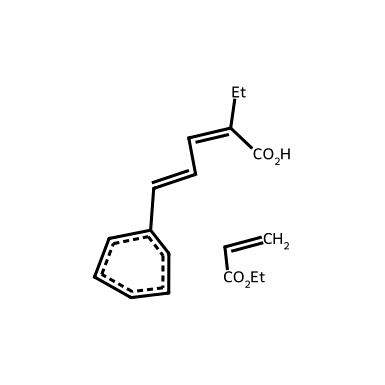 C=CC(=O)OCC.CCC(=CC=Cc1ccccc1)C(=O)O